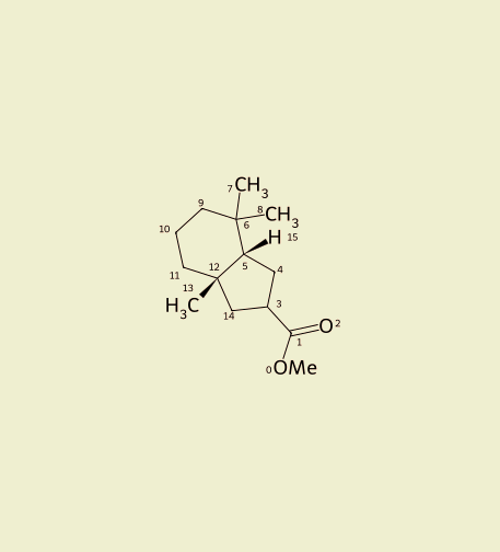 COC(=O)C1C[C@H]2C(C)(C)CCC[C@@]2(C)C1